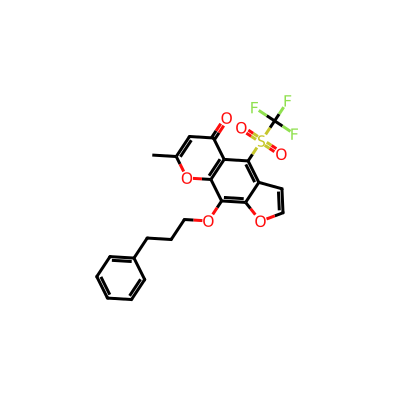 Cc1cc(=O)c2c(S(=O)(=O)C(F)(F)F)c3ccoc3c(OCCCc3ccccc3)c2o1